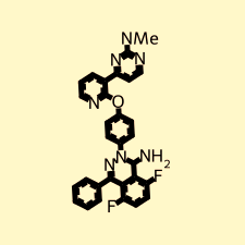 CNc1nccc(-c2cccnc2Oc2ccc(N3N=C(c4ccccc4)c4c(F)ccc(F)c4C3N)cc2)n1